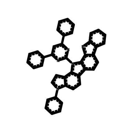 c1ccc(-c2cc(-c3ccccc3)nc(-n3c4c(ccc5c4ccn5-c4ccccc4)c4ccc5c6ccccc6sc5c43)n2)cc1